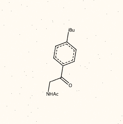 CCC(C)c1ccc(C(=O)CNC(C)=O)cc1